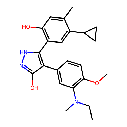 CCN(C)c1cc(-c2c(O)n[nH]c2-c2cc(C3CC3)c(C)cc2O)ccc1OC